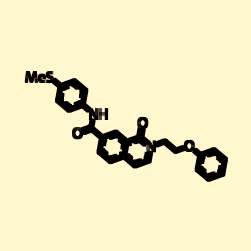 CSc1ccc(NC(=O)c2ccc3ccn(CCOc4ccccc4)c(=O)c3c2)cc1